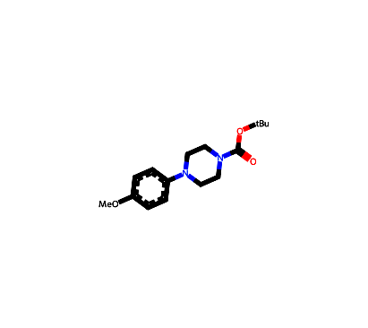 [CH2]Oc1ccc(N2CCN(C(=O)OC(C)(C)C)CC2)cc1